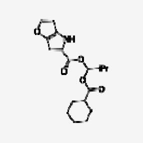 CC(C)C(OC(=O)c1cc2occc2[nH]1)OC(=O)C1CCCCC1